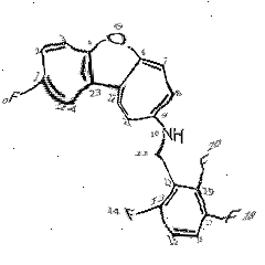 Fc1ccc2oc3ccc(NCc4c(F)ccc(F)c4F)cc3c2c1